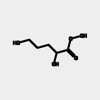 O=C(OO)C(O)CCCO